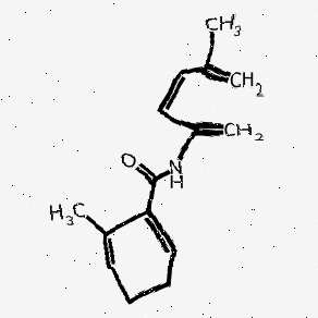 C=C(C)/C=C\C(=C)NC(=O)C1=CCCC=C1C